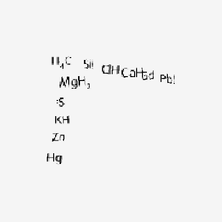 C.Cl.[CaH2].[Cd].[Hg].[KH].[MgH2].[Pb].[S].[Si].[Zn]